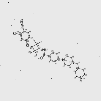 CC1(C)C(NC(=O)c2ccc(N3CCN(CC4CCNCC4)CC3)cc2)C(C)(C)C1Oc1ccc(C#N)c(Cl)c1